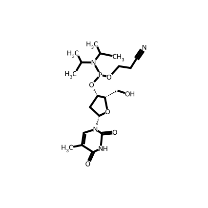 Cc1cn([C@@H]2C[C@H](OP(OCCC#N)N(C(C)C)C(C)C)[C@H](CO)O2)c(=O)[nH]c1=O